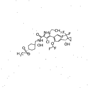 CCn1nc(C(=O)NC[C@]2(O)CC[C@@H](S(C)(=O)=O)CC2)c(Cl)c1-c1ccc([C@@H](O)C2(C(F)(F)F)CC2)cc1OC(F)F